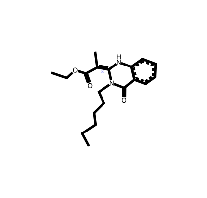 CCCCCCN1C(=O)c2ccccc2N/C1=C(\C)C(=O)OCC